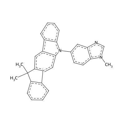 Cn1cnc2cc(-n3c4ccccc4c4cc5c(cc43)-c3ccccc3C5(C)C)ccc21